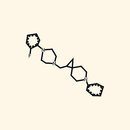 Fc1ccccc1N1CCN(CC2CC23CCN(c2ccccc2)CC3)CC1